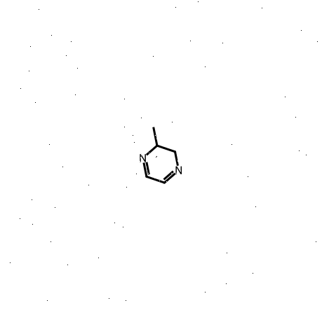 CC1CN=CC=N1